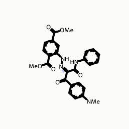 CNc1ccc(C(=O)/C(=N/Nc2cc(C(=O)OC)ccc2C(=O)OC)C(=O)Nc2ccccc2)cc1